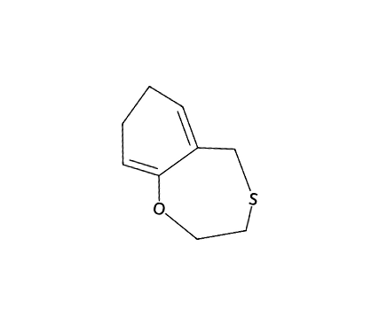 C1=C2CSCCOC2=CCC1